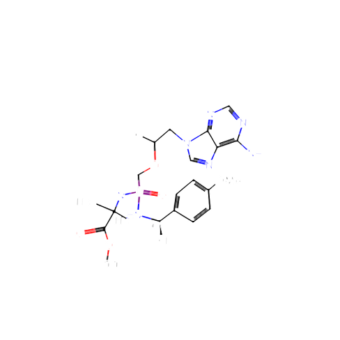 CCCOC(=O)C(C)(C)NP(=O)(COC(C)Cn1cnc2c(N)ncnc21)N[C@H](C)c1ccc(OC)cc1